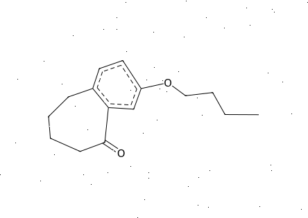 CCCCOc1ccc2c(c1)C(=O)CCCC2